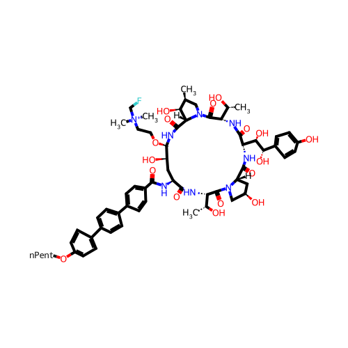 CCCCCOc1ccc(-c2ccc(-c3ccc(C(=O)N[C@H]4C[C@@H](O)[C@@H](OCC[N+](C)(C)CF)NC(=O)[C@@H]5[C@@H](O)[C@@H](C)CN5C(=O)[C@H]([C@@H](C)O)NC(=O)[C@H]([C@H](O)[C@@H](O)c5ccc(O)cc5)NC(=O)[C@@H]5C[C@@H](O)CN5C(=O)[C@H]([C@@H](C)O)NC4=O)cc3)cc2)cc1